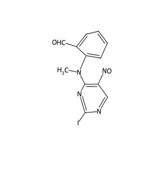 CN(c1ccccc1C=O)c1nc(I)ncc1N=O